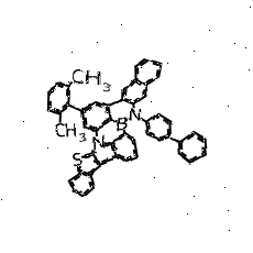 Cc1cccc(C)c1-c1cc2c3c(c1)-n1c4sc5ccccc5c4c4cccc(c41)B3N(c1ccc(-c3ccccc3)cc1)c1cc3ccccc3cc1-2